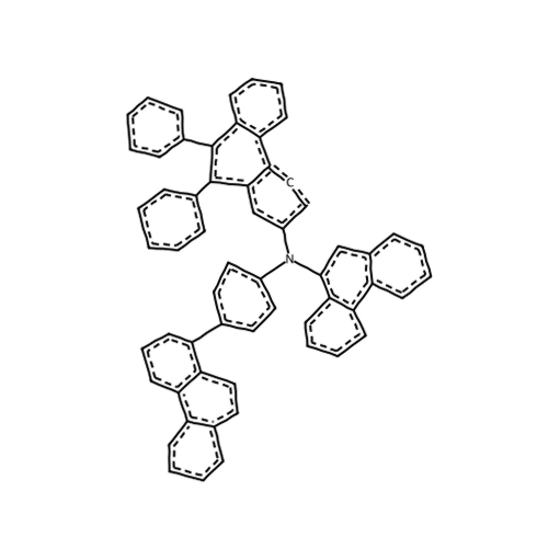 c1ccc(-c2c(-c3ccccc3)c3cc(N(c4ccc(-c5cccc6c5ccc5ccccc56)cc4)c4cc5ccccc5c5ccccc45)ccc3c3ccccc23)cc1